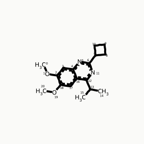 COc1cc2nc(C3CCC3)nc(C(C)C)c2cc1OC